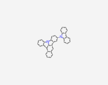 c1ccc2c(c1)cc1c3cc(-n4c5ccccc5c5ccccc54)ccc3n3c4ccccc4c2c13